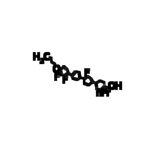 C=CCCOc1ccc(-c2ccc(-c3ccc(C4=CCC(C(O)CCC)CC4)cc3F)cc2)c(F)c1F